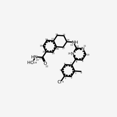 Cc1cc(Cl)ccc1-c1ccnc(NC2CCc3ccc(C(=O)NO)cc3C2)n1